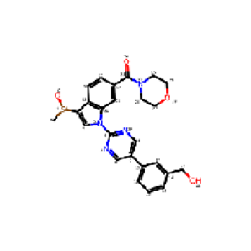 C[S+]([O-])c1cn(-c2ncc(-c3cccc(CO)c3)cn2)c2cc(C(=O)N3CCOCC3)ccc12